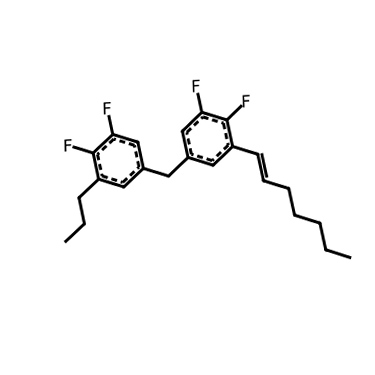 CCCCCC=Cc1cc(Cc2cc(F)c(F)c(CCC)c2)cc(F)c1F